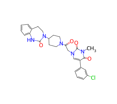 Cn1c(=O)c(-c2cccc(Cl)c2)cn(CC(=O)N2CCC(N3CCc4ccccc4NC3=O)CC2)c1=O